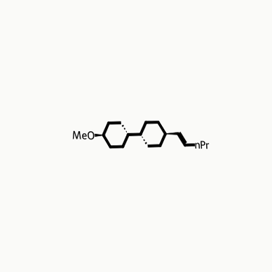 CCC/C=C/[C@H]1CC[C@H]([C@H]2CC[C@H](OC)CC2)CC1